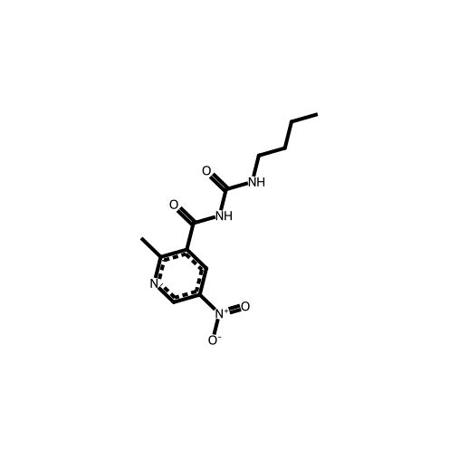 CCCCNC(=O)NC(=O)c1cc([N+](=O)[O-])cnc1C